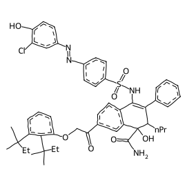 CCCC1C(c2ccccc2)=C(NS(=O)(=O)c2ccc(N=Nc3ccc(O)c(Cl)c3)cc2)c2ccc(C(=O)COc3cccc(C(C)(C)CC)c3C(C)(C)CC)cc2C1(O)C(N)=O